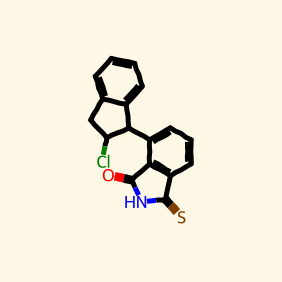 O=C1NC(=S)c2cccc(C3c4ccccc4CC3Cl)c21